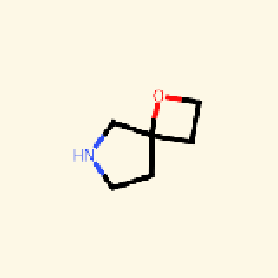 [CH]1CC2(CCNC2)O1